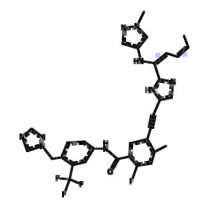 C/C=C\C=C(\Nc1cnn(C)c1)c1ncc(C#Cc2cc(C(=O)Nc3ccc(Cn4cncn4)c(C(F)(F)F)c3)c(F)cc2C)[nH]1